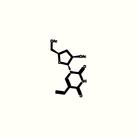 C=Cc1cn([C@@H]2O[C@@H](COC(C)=O)C[C@H]2OC(C)=O)c(=O)[nH]c1=O